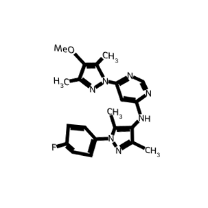 COc1c(C)nn(-c2cc(Nc3c(C)nn(-c4ccc(F)cc4)c3C)ncn2)c1C